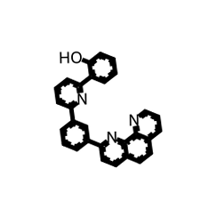 Oc1ccccc1-c1cccc(-c2cccc(-c3ccc4ccc5cccnc5c4n3)c2)n1